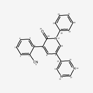 N#Cc1ccccc1-c1cc(-c2cncnc2)cn(-c2ccccc2)c1=O